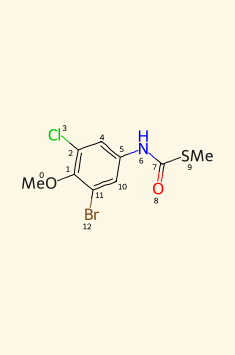 COc1c(Cl)cc(NC(=O)SC)cc1Br